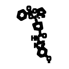 COc1ccc2nc(NC(=O)c3ccc([I+](OS(=O)(=O)c4ccccc4)c4cccs4)cc3)sc2c1